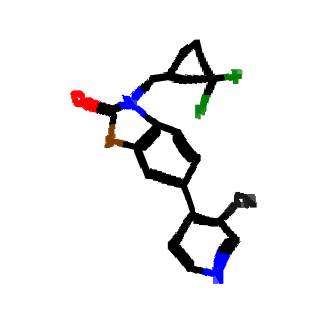 N#Cc1cnccc1-c1ccc2c(c1)sc(=O)n2CC1CC1(F)F